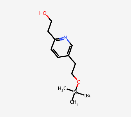 CC(C)(C)[Si](C)(C)OCCc1ccc(CCO)nc1